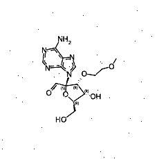 COCCO[C@@H]1[C@H](O)[C@@H](CO)O[C@@]1(C=O)n1cnc2c(N)ncnc21